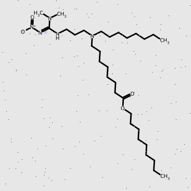 CCCCCCCCCOC(=O)CCCCCCCN(CCCCCCCC)CCCN/C(=N/[N+](=O)[O-])N(C)C